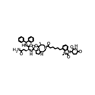 C[C@H]1CN(C(=O)CCCCCc2cccc3c2n(C)c(=O)n3C2CCC(=O)NC2=O)CC[C@H]2CC[C@@H](C(=O)N[C@@H](CCC(N)=O)C(=O)NC(c3ccccc3)c3ccccc3)N2C1=O